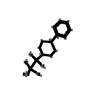 [2H]C([2H])(N)C([2H])([2H])N1CCC(c2ccccc2)CC1